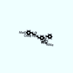 CNC(=S)NS(=O)(=O)c1cc(CCNC(=O)C=Cc2ccc(OC)cc2OC)ccc1OCc1ccccc1